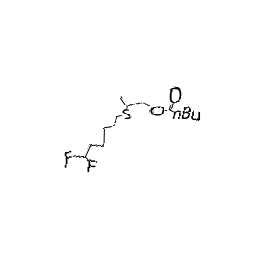 CCCCC(=O)OCC(C)SCCCCCC(F)F